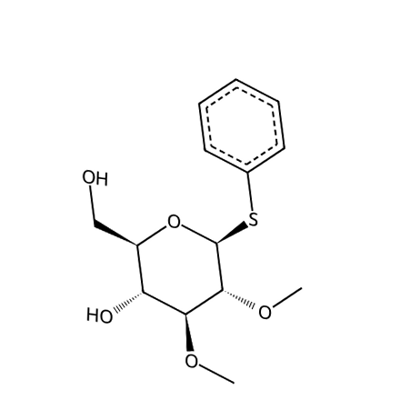 CO[C@@H]1[C@@H](OC)[C@H](O)[C@@H](CO)O[C@H]1Sc1ccccc1